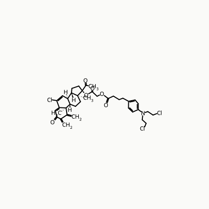 C=C1C(=C)[C@@]2(C)C(=CC1=O)C(Cl)=C[C@@H]1[C@@H]2CC[C@@]2(C)[C@H]1CC[C@]2(OC(=O)COC(=O)CCCc1ccc(N(CCCl)CCCl)cc1)C(C)=O